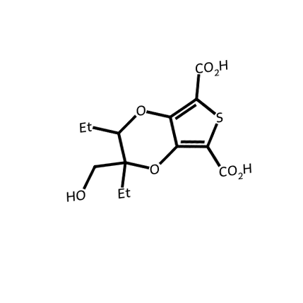 CCC1Oc2c(C(=O)O)sc(C(=O)O)c2OC1(CC)CO